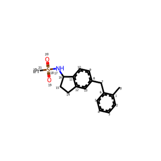 Cc1ccccc1Cc1ccc2c(c1)CCC2NS(=O)(=O)C(C)C